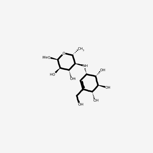 CO[C@H]1O[C@H](C)[C@@H](N[C@H]2C=C(CO)[C@@H](O)[C@H](O)[C@H]2O)[C@H](O)[C@H]1O